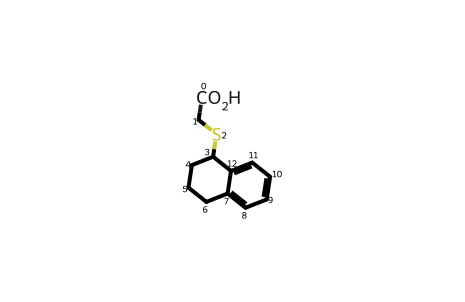 O=C(O)CSC1CCCc2ccccc21